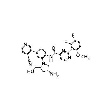 COc1ccc(F)c(F)c1-c1nccc(C(=O)Nc2ccc(-c3cnccc3C#N)cc2N2C[C@@H](N)C[C@H]2CO)n1